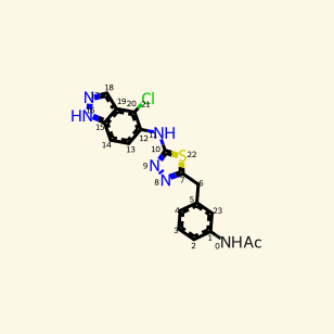 CC(=O)Nc1cccc(Cc2nnc(Nc3ccc4[nH]ncc4c3Cl)s2)c1